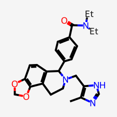 CCN(CC)C(=O)c1ccc(C2c3ccc4c(c3CCN2Cc2[nH]cnc2C)OCO4)cc1